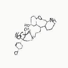 CC1(C)CN(CCC[C@@H]2C3CCCNC3COC3CC[C@H](O)CC32)CCC1(O)[C@H]1CC[C@@H](Cl)CC1